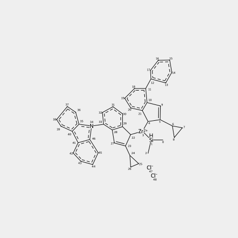 C[SiH](C)[Zr+2]([CH]1C(C2CC2)=Cc2c(-c3ccccc3)cccc21)[CH]1C(C2CC2)=Cc2c1cccc2-n1c2ccccc2c2ccccc21.[Cl-].[Cl-]